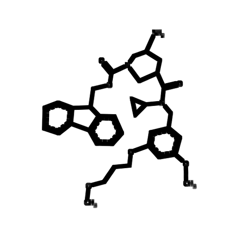 COCCCOc1cc(CN(C(=O)C2CC(N)CN(C(=O)OCC3c4ccccc4-c4ccccc43)C2)C2CC2)cc(OC)c1